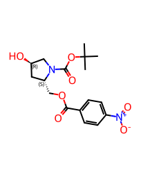 CC(C)(C)OC(=O)N1C[C@H](O)C[C@H]1COC(=O)c1ccc([N+](=O)[O-])cc1